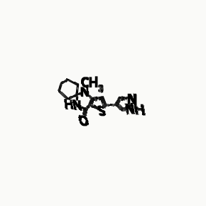 CN1c2cc(-c3cn[nH]c3)sc2C(=O)NC12CCCCC2